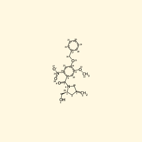 C=C1C[C@@H](CO)N(C(=O)c2cc(OC)c(OCc3ccccc3)cc2[N+](=O)[O-])C1